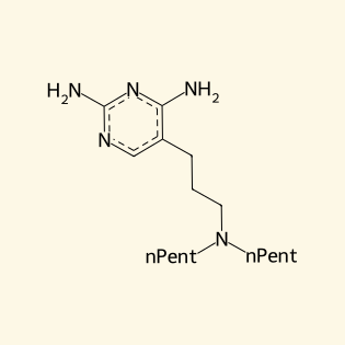 CCCCCN(CCCCC)CCCc1cnc(N)nc1N